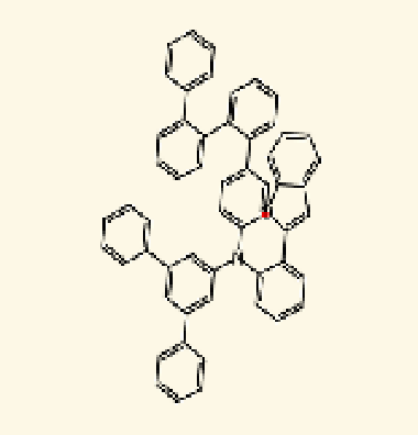 c1ccc(-c2cc(-c3ccccc3)cc(N(c3ccc(-c4ccccc4-c4ccccc4-c4ccccc4)cc3)c3ccccc3-c3cc4ccccc4o3)c2)cc1